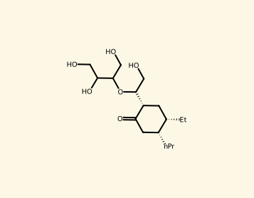 CCC[C@@H]1CC(=O)[C@H](C(CO)OC(CO)C(O)CO)C[C@@H]1CC